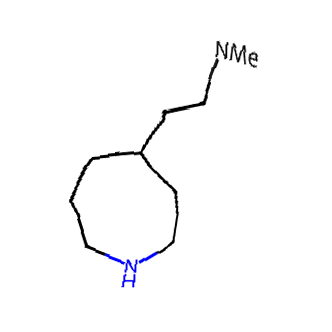 CNCCC1CCCNCC1